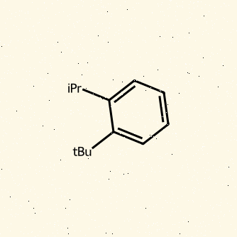 CC(C)c1ccccc1C(C)(C)C